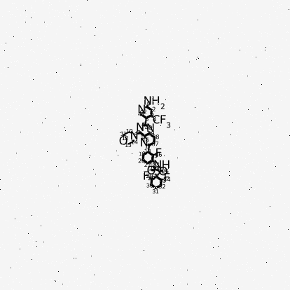 Nc1cc(C(F)(F)F)c(-c2nc(N3CCOCC3)c3nc(-c4cccc(NS(=O)(=O)c5c(F)cccc5F)c4F)ccc3n2)cn1